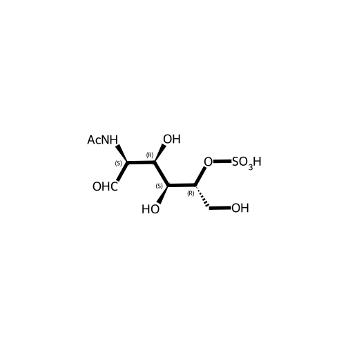 CC(=O)N[C@H](C=O)[C@@H](O)[C@H](O)[C@@H](CO)OS(=O)(=O)O